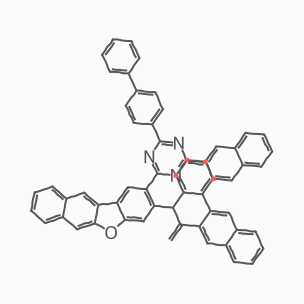 C=C1c2cc3ccccc3cc2-c2ccccc2C1c1cc2oc3cc4ccccc4cc3c2cc1-c1nc(-c2ccc(-c3ccccc3)cc2)nc(-c2ccc3ccccc3c2)n1